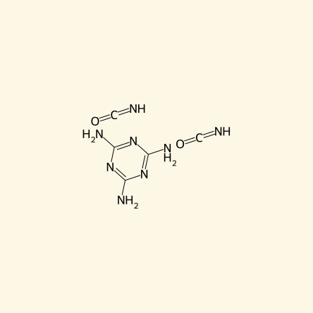 N=C=O.N=C=O.Nc1nc(N)nc(N)n1